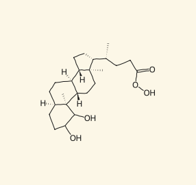 C[C@H](CCC(=O)OO)[C@H]1CC[C@H]2[C@@H]3CC[C@@H]4CCC(O)C(O)[C@]4(C)[C@H]3CC[C@]12C